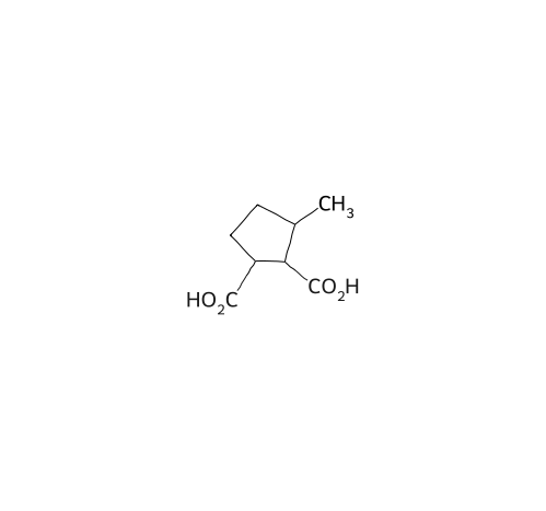 CC1CCC(C(=O)O)C1C(=O)O